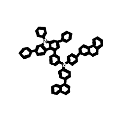 c1ccc(-c2ccc3c4c(-c5cccc(N(c6ccc(-c7ccc8c(ccc9ccccc98)c7)cc6)c6ccc(-c7cccc8ccccc78)cc6)c5)cc(-c5ccccc5)cc4n(-c4ccccc4)c3c2)cc1